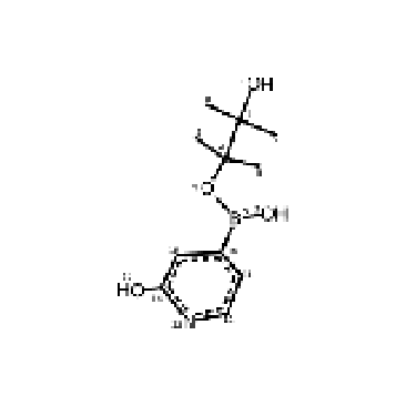 CC(C)(O)C(C)(C)OB(O)c1ccnc(O)c1